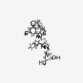 CC(c1cc2ccccn2c1-c1ccn(CCN(CCO)CCO)n1)n1nc(-c2cc(O)cc(F)c2)c2c(N)ncnc21